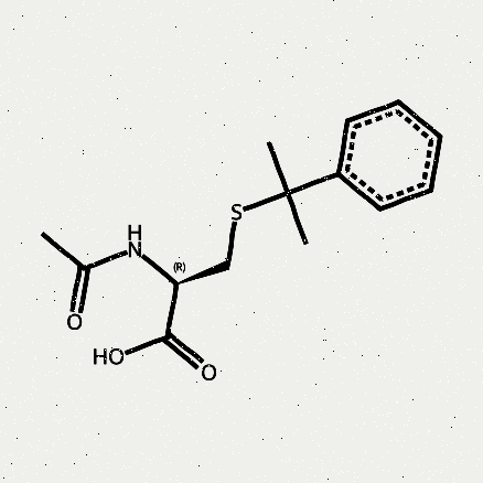 CC(=O)N[C@@H](CSC(C)(C)c1ccccc1)C(=O)O